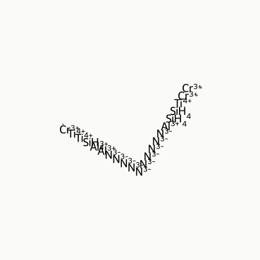 [Al+3].[Al+3].[Al+3].[Cr+3].[Cr+3].[Cr+3].[N-3].[N-3].[N-3].[N-3].[N-3].[N-3].[N-3].[N-3].[N-3].[N-3].[SiH4].[SiH4].[SiH4].[Ti+4].[Ti+4].[Ti+4]